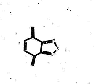 C=c1ccc(=C)c2nsnc12